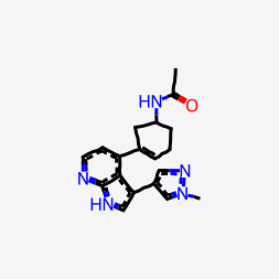 CC(=O)NC1CCC=C(c2ccnc3[nH]cc(-c4cnn(C)c4)c23)C1